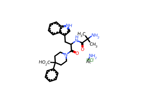 CC(C)(N)C(=O)NC(Cc1c[nH]c2ccccc12)C(=O)N1CCC(C(=O)O)(c2ccccc2)CC1.CC(N)=O.Cl